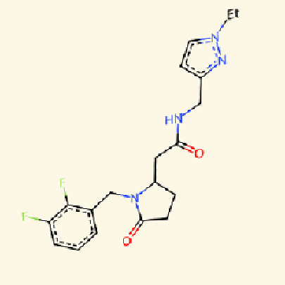 CCn1ccc(CNC(=O)CC2CCC(=O)N2Cc2cccc(F)c2F)n1